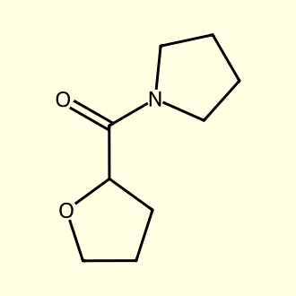 O=C(C1CCCO1)N1CCCC1